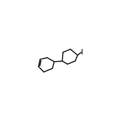 IC1CCC(C2CC=CCC2)CC1